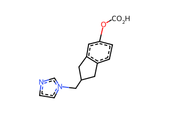 O=C(O)Oc1ccc2c(c1)CC(Cn1ccnc1)C2